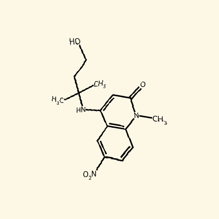 Cn1c(=O)cc(NC(C)(C)CCO)c2cc([N+](=O)[O-])ccc21